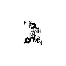 Cc1ccc(C2=NN(C(=O)NC(C)c3ccc(C(F)(F)F)nc3)C[C@H]2N(C)C(=O)CN(C)C)cc1